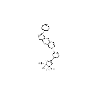 CC1(C)OB(c2cccc(-c3ccc4cc5c(cnn5-c5ccccc5)cc4c3)c2)OC1(C)C